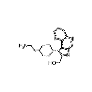 NCC[C@H]1CC[C@H](n2c(CO)nc3cnc4cccnc4c32)CC1